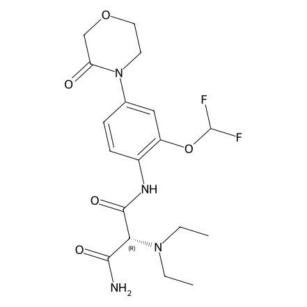 CCN(CC)[C@H](C(N)=O)C(=O)Nc1ccc(N2CCOCC2=O)cc1OC(F)F